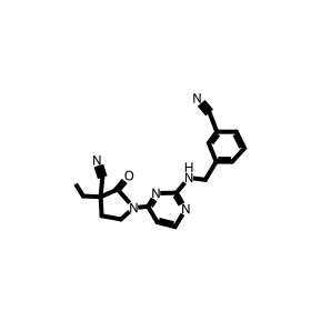 CCC1(C#N)CCN(c2ccnc(NCc3cccc(C#N)c3)n2)C1=O